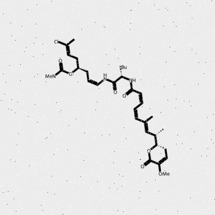 CNC(=O)O[C@H](C/C=C\NC(=O)[C@@H](NC(=O)\C=C/C=C\C(C)=C\[C@H](C)[C@@H]1CC=C(OC)C(=O)O1)C(C)(C)C)C/C=C(\C)Cl